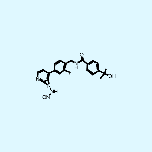 CC(C)(O)c1ccc(C(=O)NCc2ccc(-c3ccnc4c3N4NN=O)cc2F)cc1